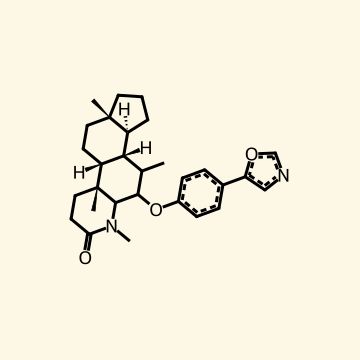 CC1C(Oc2ccc(-c3cnco3)cc2)C2N(C)C(=O)CC[C@]2(C)[C@@H]2CC[C@]3(C)CCC[C@H]3[C@H]12